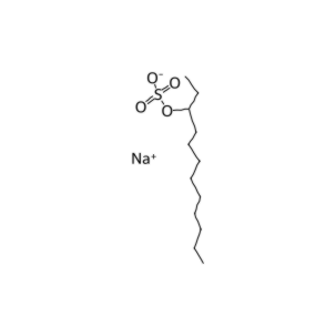 CCCCCCCCCC(CC)OS(=O)(=O)[O-].[Na+]